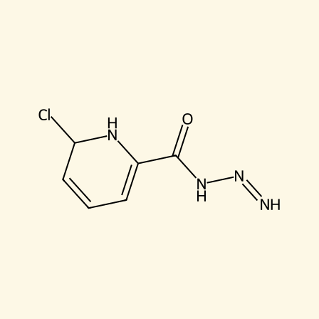 N=NNC(=O)C1=CC=CC(Cl)N1